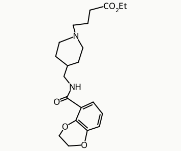 CCOC(=O)CCCN1CCC(CNC(=O)c2cccc3c2OCCO3)CC1